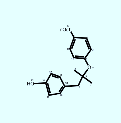 CCCCCCCCc1ccc(OC(C)(C)Cc2ccc(O)cc2)cc1